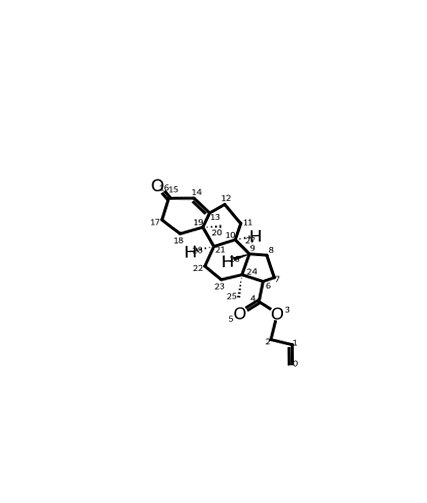 C=CCOC(=O)C1CC[C@H]2[C@@H]3CCC4=CC(=O)CC[C@]4(C)[C@@H]3CC[C@]12C